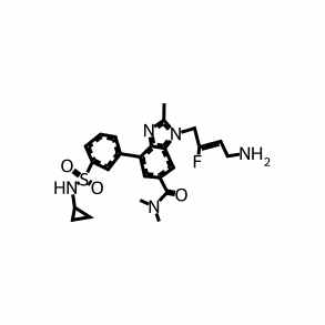 Cc1nc2c(-c3cccc(S(=O)(=O)NC4CC4)c3)cc(C(=O)N(C)C)cc2n1C/C(F)=C/CN